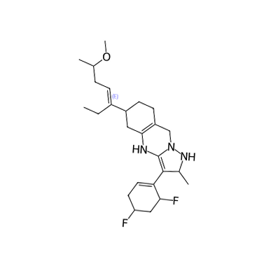 CC/C(=C\CC(C)OC)C1CCC2=C(C1)NC1=C(C3=CCC(F)CC3F)C(C)NN1C2